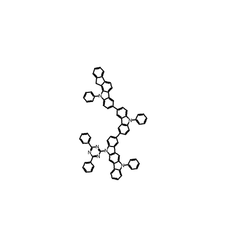 c1ccc(-c2nc(-c3ccccc3)nc(-n3c4ccc(-c5ccc6c(c5)c5cc(-c7ccc8c(c7)c7ccc9c(c7n8-c7ccccc7)Cc7ccccc7-9)ccc5n6-c5ccccc5)cc4c4cc5c(cc43)c3ccccc3n5-c3ccccc3)n2)cc1